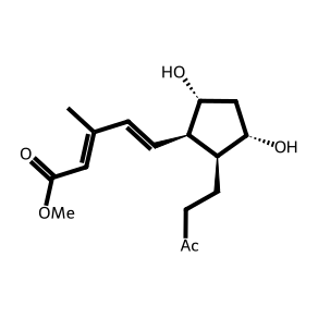 COC(=O)C=C(C)C=C[C@@H]1[C@H](CCC(C)=O)[C@@H](O)C[C@H]1O